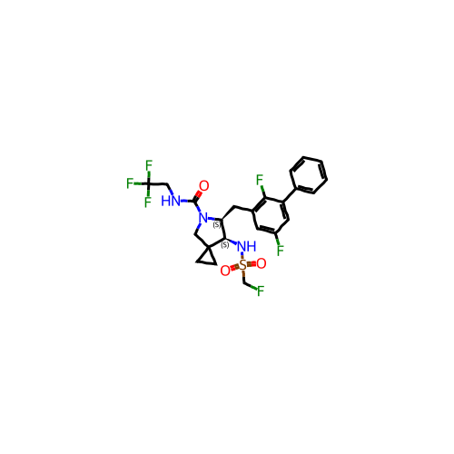 O=C(NCC(F)(F)F)N1CC2(CC2)[C@H](NS(=O)(=O)CF)[C@@H]1Cc1cc(F)cc(-c2ccccc2)c1F